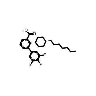 CCCCCCC[C@H]1CC[C@H](c2c(C(=O)O)cccc2-c2cc(F)c(F)c(F)c2)CC1